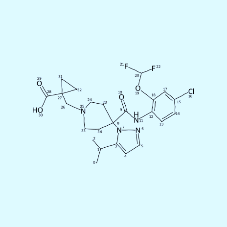 CC(C)c1ccnn1C1(C(=O)Nc2ccc(Cl)cc2OC(F)F)CCN(CC2(C(=O)O)CC2)CC1